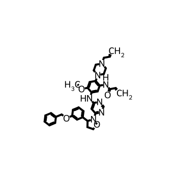 C=CCN1CCN(c2cc(OC)c(Nc3cc(N4OCCC4c4cccc(OCc5ccccc5)c4)ncn3)cc2NC(=O)C=C)CC1